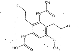 COc1cc(NC(=O)O)c(CCCl)c(NC(=O)O)c1CCCl